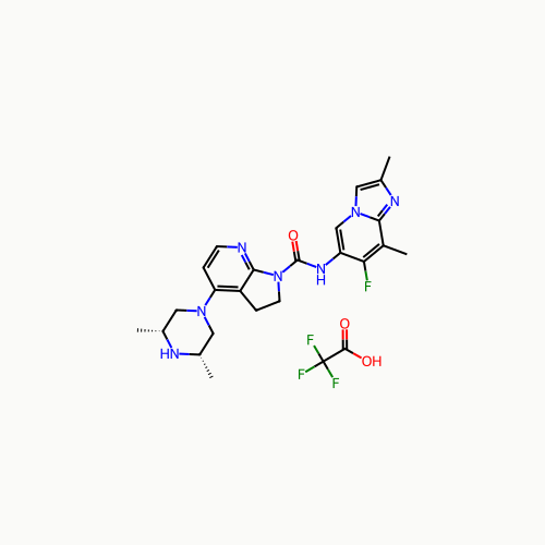 Cc1cn2cc(NC(=O)N3CCc4c(N5C[C@@H](C)N[C@@H](C)C5)ccnc43)c(F)c(C)c2n1.O=C(O)C(F)(F)F